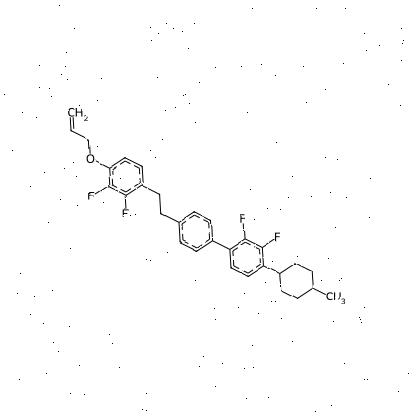 C=CCOc1ccc(CCc2ccc(-c3ccc(C4CCC(C)CC4)c(F)c3F)cc2)c(F)c1F